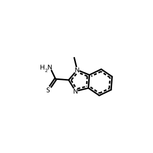 Cn1c(C(N)=S)nc2ccccc21